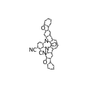 N#Cc1ccc(-n2c3ccccc3c3cc4c(cc32)oc2ccccc24)c(-n2c3ccccc3c3cc4c(cc32)oc2ccccc24)c1C#N